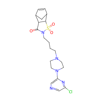 O=C1C2C3C=CC(C3)C2S(=O)(=O)N1CCCCN1CCN(c2cncc(Cl)n2)CC1